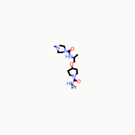 CC(C)NC(=O)N1CCC(OCC(C)NC(=O)N2CCN(C)CC2)CC1